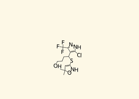 CC1(C)C=C(SC(CCCO)c2c(C(F)(F)F)n[nH]c2Cl)NO1